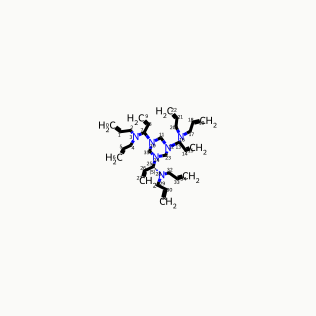 C=CCN(CC=C)C(C=C)N1CN(C(C=C)N(CC=C)CC=C)CN([C@@H](C=C)N(CC=C)CC=C)C1